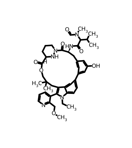 CCn1c(-c2cccnc2COC)c2c3cc(ccc31)-c1cc(O)cc(c1)C[C@H](NC(=O)C(C(C)C)N(C)C=O)C(=O)N1CCC[C@H](N1)C(=O)OCC(C)(C)C2